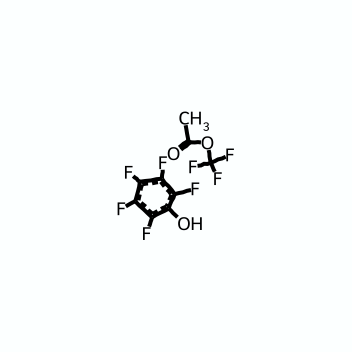 CC(=O)OC(F)(F)F.Oc1c(F)c(F)c(F)c(F)c1F